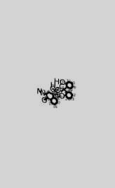 CC(COS(=O)(=O)C1=CC(=[N+]=[N-])C(=O)c2ccccc21)(c1ccccc1O)c1ccccc1O